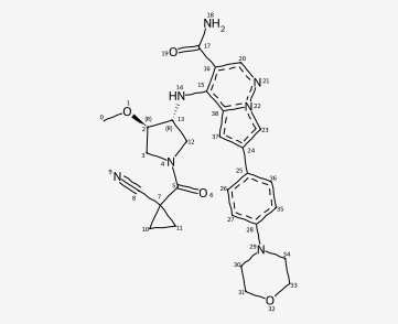 CO[C@@H]1CN(C(=O)C2(C#N)CC2)C[C@H]1Nc1c(C(N)=O)cnn2cc(-c3ccc(N4CCOCC4)cc3)cc12